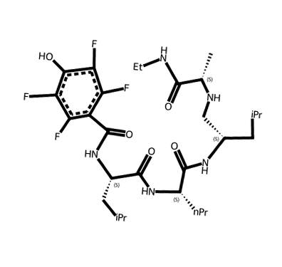 CCC[C@H](NC(=O)[C@H](CC(C)C)NC(=O)c1c(F)c(F)c(O)c(F)c1F)C(=O)N[C@H](CN[C@@H](C)C(=O)NCC)CC(C)C